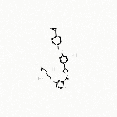 COc1cc(C2CN(C(=O)c3cc(OC[C@H](O)[C@@H](O)C(=O)O)ccn3)C2)ccc1OCc1ccc(C2CC2)cc1